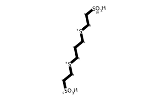 O=S(=O)(O)CCSCCCSCCS(=O)(=O)O